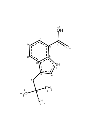 CC(C)(N)Cc1c[nH]c2c(C(=O)O)cccc12